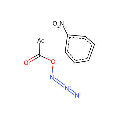 CC(=O)C(=O)ON=[N+]=[N-].O=[N+]([O-])c1ccccc1